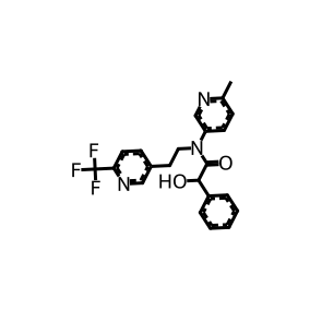 Cc1ccc(N(CCc2ccc(C(F)(F)F)nc2)C(=O)C(O)c2ccccc2)cn1